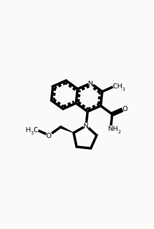 COC[C@@H]1CCCN1c1c(C(N)=O)c(C)nc2c[c]ccc12